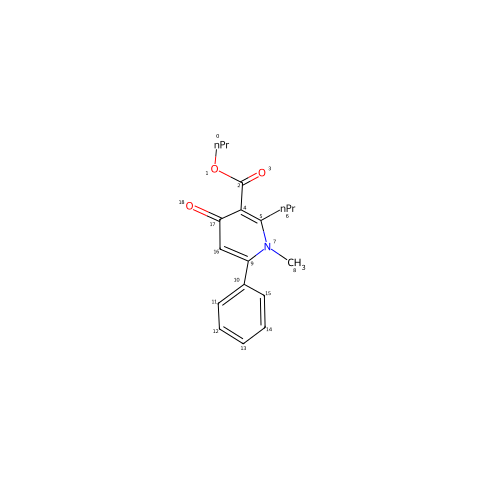 CCCOC(=O)c1c(CCC)n(C)c(-c2ccccc2)cc1=O